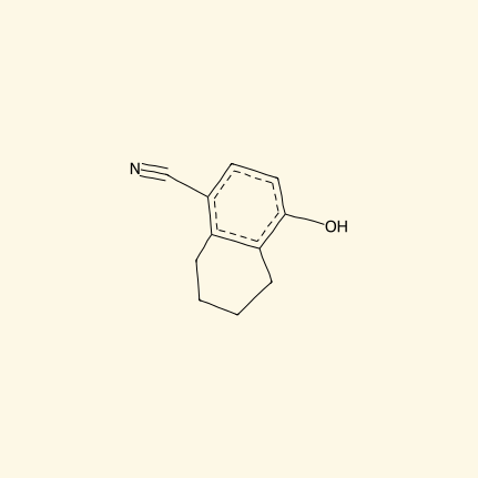 N#Cc1ccc(O)c2c1CCCC2